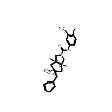 O=C(Nc1ccc(Cl)c(C(F)(F)F)c1)N1C[C@@H]2C[C@@](O)(Cc3ccccc3)C[C@@H]2C1